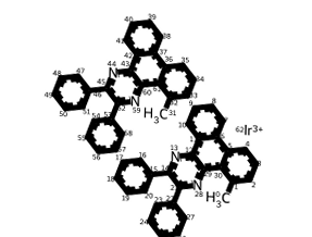 Cc1cccc2c3ccccc3c3nc(-c4ccccc4)c(-c4ccccc4)nc3c12.Cc1cccc2c3ccccc3c3nc(-c4ccccc4)c(-c4ccccc4)nc3c12.[Ir+3]